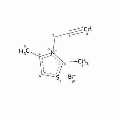 C#CC[n+]1c(C)csc1C.[Br-]